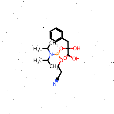 CC(C)N(C(C)C)P(OCCC#N)OC(O)(Cc1ccccc1)C(=O)O